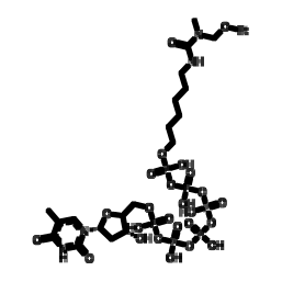 CCOCN(C)C(=O)NCCCCCCOP(=O)(O)OP(=O)(O)OP(=O)(O)OP(=O)(O)OP(=O)(O)OP(=O)(O)OCC1O[C@@H](n2cc(C)c(=O)[nH]c2=O)C[C@H]1O